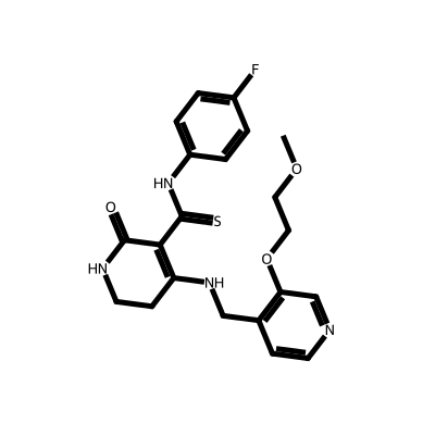 COCCOc1cnccc1CNC1=C(C(=S)Nc2ccc(F)cc2)C(=O)NCC1